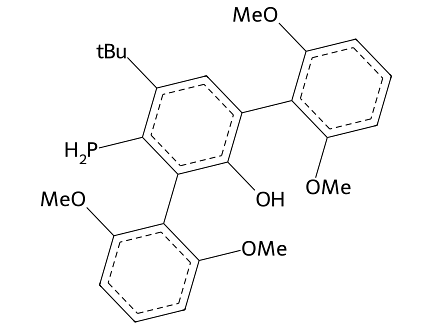 COc1cccc(OC)c1-c1cc(C(C)(C)C)c(P)c(-c2c(OC)cccc2OC)c1O